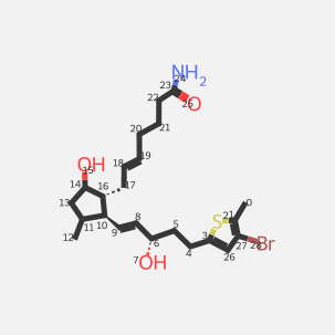 Cc1sc(CC[C@H](O)C=C[C@H]2C(C)CC(O)[C@@H]2CC=CCCCC(N)=O)cc1Br